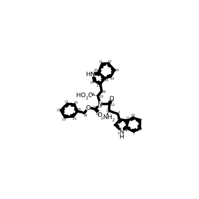 N[C@@H](Cc1c[nH]c2ccccc12)C(=O)N(C(=O)OCc1ccccc1)[C@@H](Cc1c[nH]c2ccccc12)C(=O)O